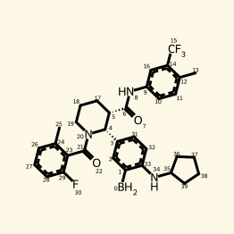 Bc1cc([C@H]2[C@@H](C(=O)Nc3ccc(C)c(C(F)(F)F)c3)CCCN2C(=O)c2c(C)cccc2F)ccc1NC1CCCC1